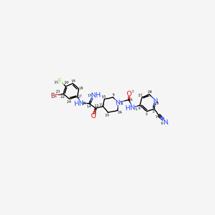 N#Cc1cc(NC(=O)N2CCC(C(=O)C(=N)Nc3ccc(F)c(Br)c3)CC2)ccn1